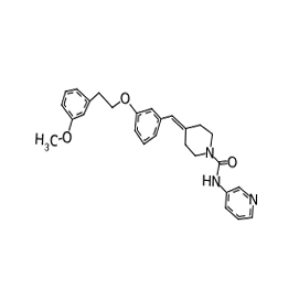 COc1cccc(CCOc2cccc(C=C3CCN(C(=O)Nc4cccnc4)CC3)c2)c1